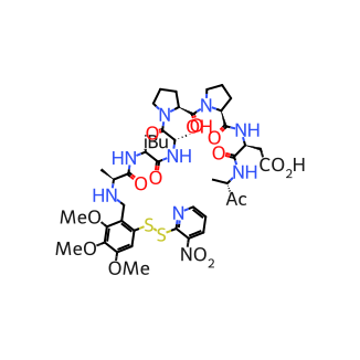 CCC(C)[C@H](NC(=O)[C@H](C)NCc1c(SSc2ncccc2[N+](=O)[O-])cc(OC)c(OC)c1OC)C(=O)N[C@@H](CO)C(=O)N1CCC[C@H]1C(=O)N1CCC[C@H]1C(=O)N[C@@H](CC(=O)O)C(=O)N[C@@H](C)C(C)=O